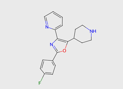 Fc1ccc(-c2nc(-c3ccccn3)c(C3CCNCC3)o2)cc1